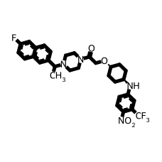 CC(c1ccc2cc(F)ccc2c1)N1CCN(C(=O)CO[C@H]2CC[C@H](Nc3ccc([N+](=O)[O-])c(C(F)(F)F)c3)CC2)CC1